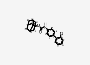 O=C(Nc1ccc(-c2ccccc2Cl)cc1)OC12CC3CC(CC(C3)C1)C2